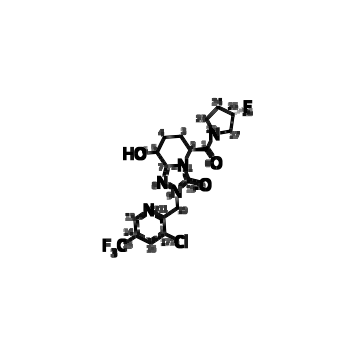 O=C([C@@H]1CCC(O)c2nn(Cc3ncc(C(F)(F)F)cc3Cl)c(=O)n21)N1CC[C@H](F)C1